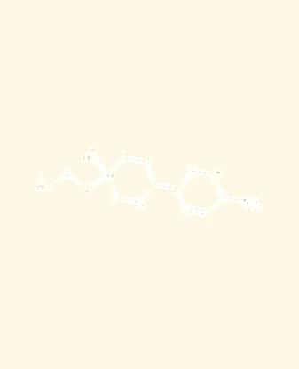 O=[N+]([O-])c1ccc(C2CCC(O)(CCO)CC2)cc1